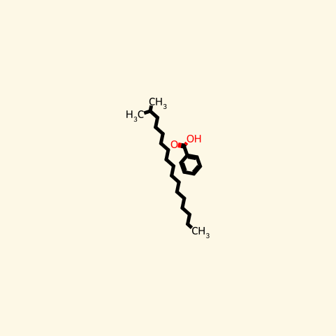 CCCCCCCCCCCCCCCC(C)C.O=C(O)c1ccccc1